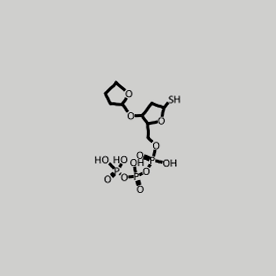 O=P(O)(O)OP(=O)(O)OP(=O)(O)OCC1OC(S)CC1OC1CCCO1